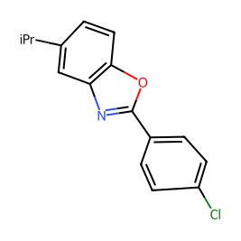 CC(C)c1ccc2oc(-c3ccc(Cl)cc3)nc2c1